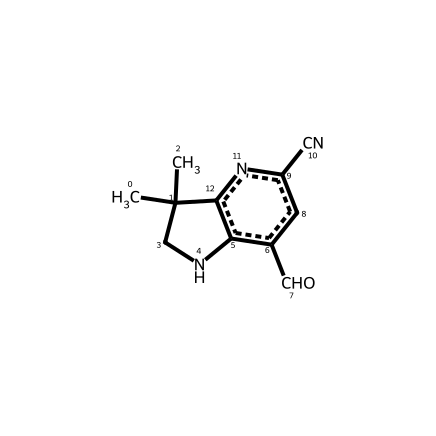 CC1(C)CNc2c(C=O)cc(C#N)nc21